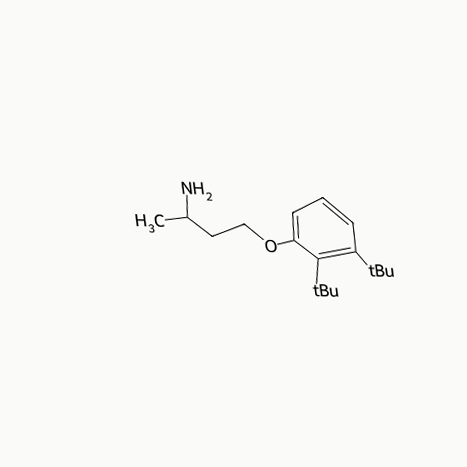 CC(N)CCOc1cccc(C(C)(C)C)c1C(C)(C)C